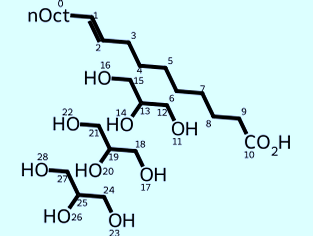 CCCCCCCCC=CCCCCCCCC(=O)O.OCC(O)CO.OCC(O)CO.OCC(O)CO